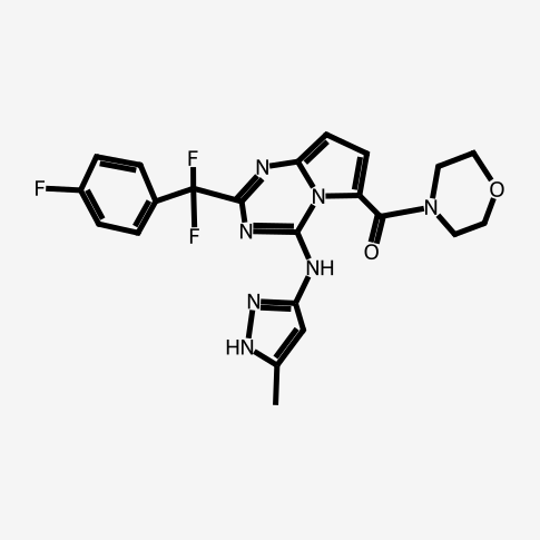 Cc1cc(Nc2nc(C(F)(F)c3ccc(F)cc3)nc3ccc(C(=O)N4CCOCC4)n23)n[nH]1